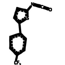 O=C=Nc1ccc(-c2ccc(C(F)(F)F)cc2)s1